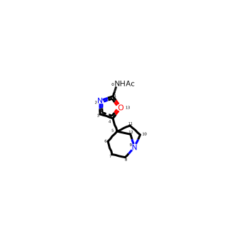 CC(=O)Nc1ncc(C23CCCN(CC2)C3)o1